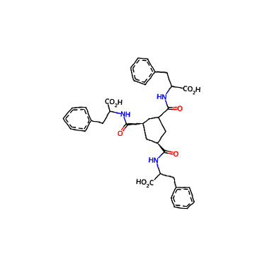 O=C(NC(Cc1ccccc1)C(=O)O)C1C[C@H](C(=O)NC(Cc2ccccc2)C(=O)O)C[C@H](C(=O)NC(Cc2ccccc2)C(=O)O)C1